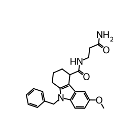 COc1ccc2c(c1)c1c(n2Cc2ccccc2)CCCC1C(=O)NCCC(N)=O